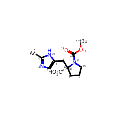 CC(=O)c1ncc(C[C@]2(C(=O)O)CCCN2C(=O)OC(C)(C)C)[nH]1